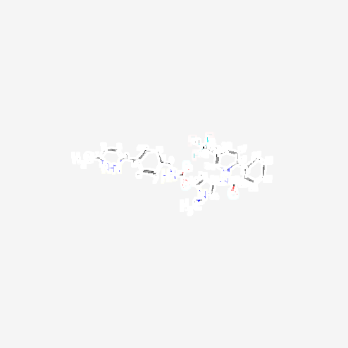 Cc1ccc(-c2ccc(CNC(=O)Oc3cc(NC(=O)c4ccccc4-c4ccc(C(F)(F)F)cc4)cn3C)cc2)nn1